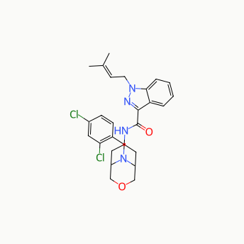 CC(C)=CCn1nc(C(=O)NC2CC3COCC(C2)N3Cc2ccc(Cl)cc2Cl)c2ccccc21